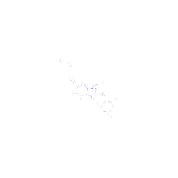 CC(C)N1CCC[C@@H](Nc2ncc3nc(Nc4c(Cl)cc(Cl)cc4Cl)n(C)c3n2)C1